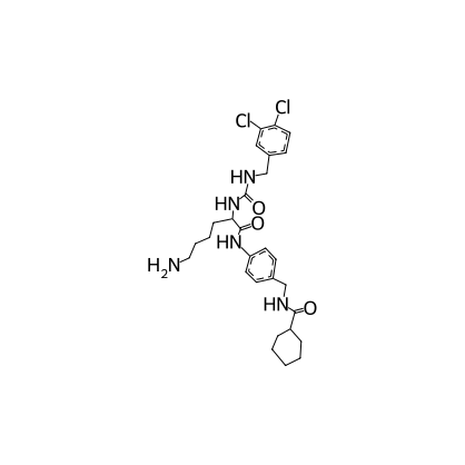 NCCCCC(NC(=O)NCc1ccc(Cl)c(Cl)c1)C(=O)Nc1ccc(CNC(=O)C2CCCCC2)cc1